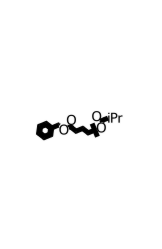 CC(C)C(=O)OC(C)(C)CCCC(=O)OCc1ccccc1